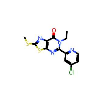 CCn1c(-c2cc(Cl)ccn2)nc2sc(SC)nc2c1=O